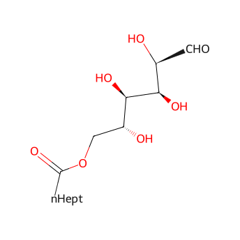 CCCCCCCC(=O)OC[C@@H](O)[C@@H](O)[C@H](O)[C@@H](O)C=O